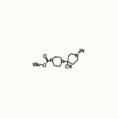 CC(C)N1CCC(C#N)(N2CCN(C(=O)OC(C)(C)C)CC2)CC1